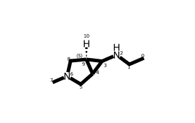 CCNC1C2CN(C)C[C@H]21